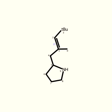 C/C(=C\C(C)(C)C)CC1CCCN1